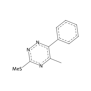 CSc1nnc(-c2ccccc2)c(C)n1